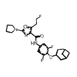 O=C(Nc1cc(F)c(OC2CC3CC(C3)C2)c(F)c1)c1nc(N2CCCC2)oc1CCF